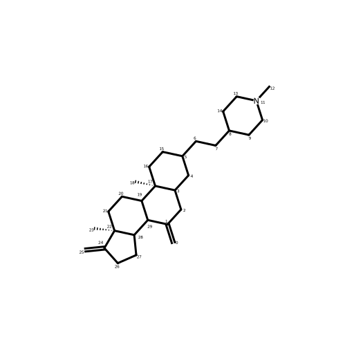 C=C1CC2CC(CCC3CCN(C)CC3)CC[C@]2(C)C2CC[C@]3(C)C(=C)CCC3C12